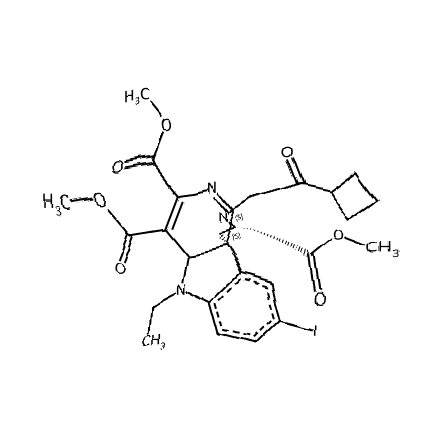 CCN1c2ccc(I)cc2[C@]23C[C@@H](C(=O)OC)N(C(=O)C4CCC4)C2=NC(C(=O)OC)=C(C(=O)OC)C13